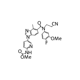 COC(=O)Nc1ccc(-n2cnc3c(C)c(C(=O)N(CCC#N)c4ccc(F)c(OC)c4)ccc32)cn1